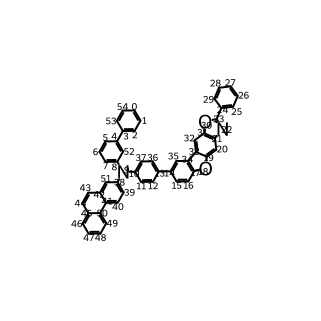 c1ccc(-c2cccc(N(c3ccc(-c4ccc5oc6cc7nc(-c8ccccc8)oc7cc6c5c4)cc3)c3ccc4c(ccc5ccccc54)c3)c2)cc1